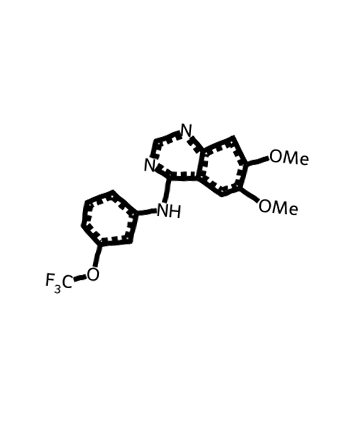 COc1cc2ncnc(Nc3cccc(OC(F)(F)F)c3)c2cc1OC